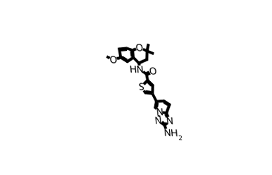 COc1ccc2c(c1)C(NC(=O)c1cc(-c3ccc4nc(N)nn4c3)cs1)CC(C)(C)O2